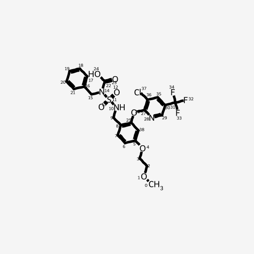 COCCOc1ccc(CNS(=O)(=O)N(Cc2ccccc2)C(=O)O)c(Oc2ncc(C(F)(F)F)cc2Cl)c1